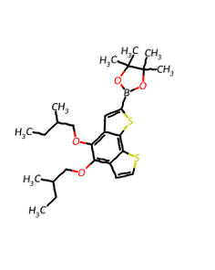 CCC(C)COc1c(OCC(C)CC)c2cc(B3OC(C)(C)C(C)(C)O3)sc2c2sccc12